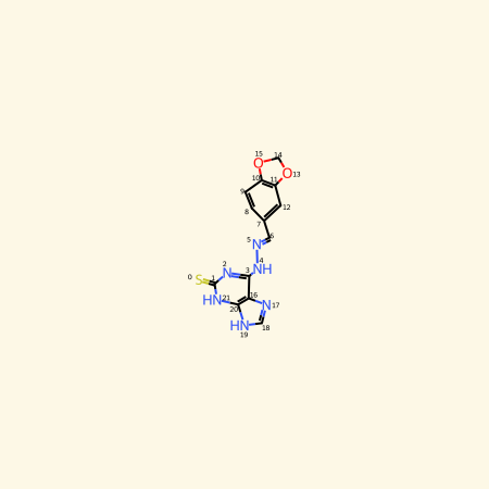 S=c1nc(NN=Cc2ccc3c(c2)OCO3)c2nc[nH]c2[nH]1